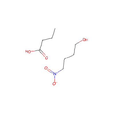 CCCC(=O)O.O=[N+]([O-])CCCCO